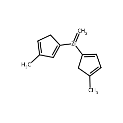 [CH2]=[Zr]([C]1=CC(C)=CC1)[C]1=CC=C(C)C1